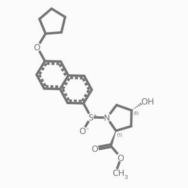 COC(=O)[C@@H]1C[C@@H](O)CN1[S+]([O-])c1ccc2cc(OC3CCCC3)ccc2c1